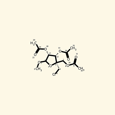 COC1O[C@](CCl)(COC(C)=O)[C@@H](OC(C)=O)[C@H]1OC(C)=O